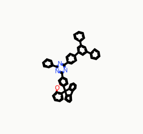 c1ccc(-c2cc(-c3ccccc3)cc(-c3ccc(-c4nc(-c5ccccc5)nc(-c5ccc6c(c5)Oc5ccccc5C65c6ccccc6-c6ccccc65)n4)cc3)c2)cc1